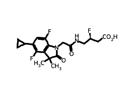 CC1(C)C(=O)N(CC(=O)NC[C@@H](F)CC(=O)O)c2c(F)cc(C3CC3)c(F)c21